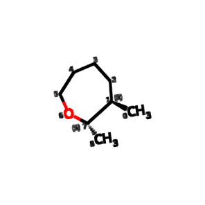 C[C@@H]1CCCCO[C@H]1C